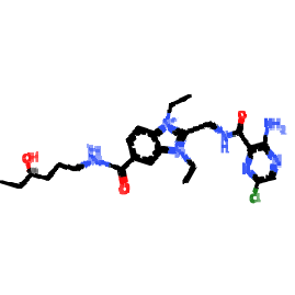 CC[C@@H](O)CCCNC(=O)c1ccc2c(c1)n(CC)c(CNC(=O)c1nc(Cl)cnc1N)[n+]2CC